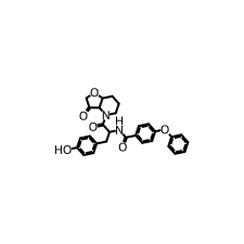 O=C(NC(Cc1ccc(O)cc1)C(=O)N1CCCC2OCC(=O)C21)c1ccc(Oc2ccccc2)cc1